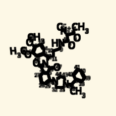 [C-]#[N+]C(C(C)=O)C(=O)NCCC[C@H](c1ccc(OC)c(OC)c1)N1C(=O)c2cccc(N3CCN([C@H](C)c4ccccc4)CC3)c2C1=O